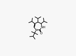 CC(C)C1=CN(C(C)(C)C(C)C)C(=O)NC(C(C)C)C1C(C)C